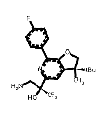 CC(C)(C)[C@]1(C)COc2c1cc([C@](O)(CN)C(F)(F)F)nc2-c1ccc(F)cc1